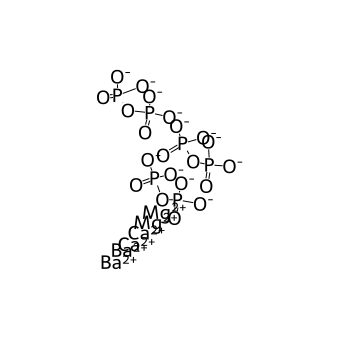 O=P([O-])([O-])OP(=O)([O-])[O-].O=P([O-])([O-])OP(=O)([O-])[O-].O=P([O-])([O-])OP(=O)([O-])[O-].[Ba+2].[Ba+2].[Ca+2].[Ca+2].[Mg+2].[Mg+2]